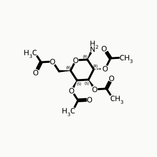 CC(=O)OC[C@H]1O[C@@H](N)[C@H](OC(C)=O)[C@@H](OC(C)=O)[C@H]1OC(C)=O